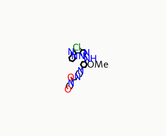 COc1cc(N2CCN(CC(=O)N3CCOCC3)CC2)ccc1Nc1ncc(Cl)c(-c2cnc3ccccn23)n1